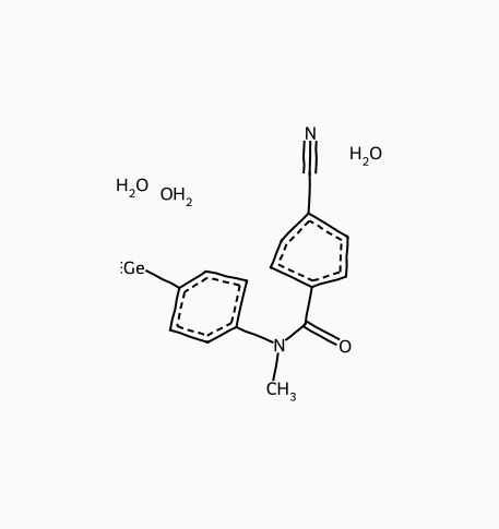 CN(C(=O)c1ccc(C#N)cc1)c1cc[c]([Ge])cc1.O.O.O